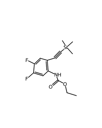 CCOC(=O)Nc1cc(F)c(F)cc1C#C[Si](C)(C)C